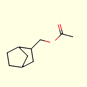 CC(C)C(=O)OCC1CC2CCC1C2